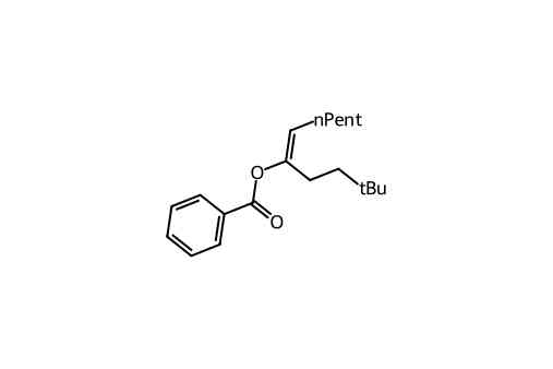 CCCCCC=C(CCC(C)(C)C)OC(=O)c1ccccc1